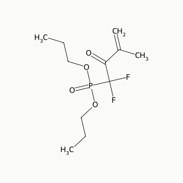 C=C(C)C(=O)C(F)(F)P(=O)(OCCC)OCCC